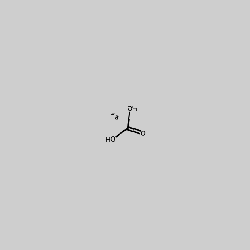 O=C(O)O.[Ta]